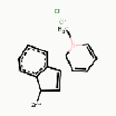 CB1C=CC=CC1.[Cl-].[Cl-].[Zr+2][CH]1C=Cc2ccccc21